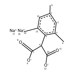 Cc1cc(C)c(C(C(=O)[O-])C(=O)[O-])c(C)c1.[Na+].[Na+]